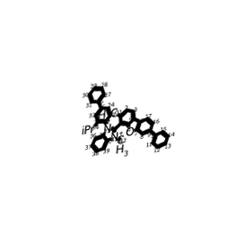 Cc1ccc2c(oc3cc(-c4ccccc4)ccc32)c1-c1n(-c2ccc(-c3ccccc3)cc2C(C)C)c2ccccc2[n+]1C